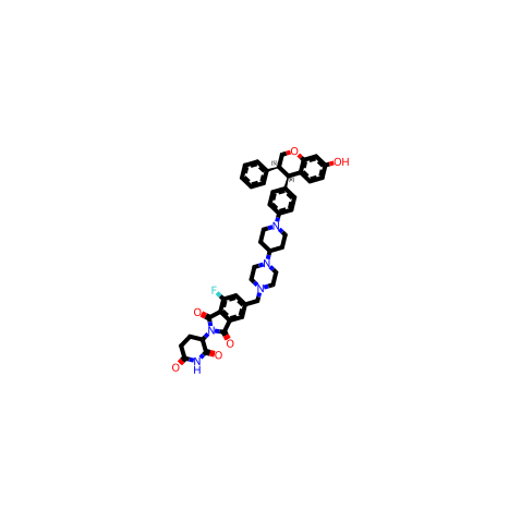 O=C1CCC(N2C(=O)c3cc(CN4CCN(C5CCN(c6ccc([C@@H]7c8ccc(O)cc8OC[C@@H]7c7ccccc7)cc6)CC5)CC4)cc(F)c3C2=O)C(=O)N1